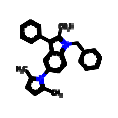 Cc1ccc(C)n1-c1ccc2c(c1)c(-c1ccccc1)c(C(=O)O)n2Cc1ccccc1